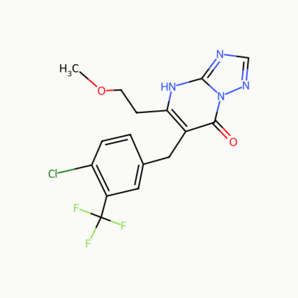 COCCc1[nH]c2ncnn2c(=O)c1Cc1ccc(Cl)c(C(F)(F)F)c1